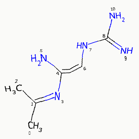 CC(C)=N/C(N)=C/NC(=N)N